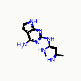 CN/C(=C\C(C)=N)Nc1nc(N)c2cc[nH]c2n1